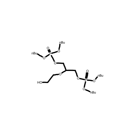 CCCCOP(=O)(OCCCC)OCC(COP(=O)(OCCCC)OCCCC)OCCO